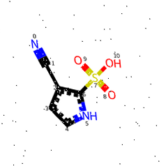 N#Cc1cc[nH]c1S(=O)(=O)O